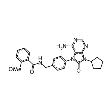 COc1ccccc1C(=O)NCc1ccc(-n2c(=O)n(C3CCCC3)c3ncnc(N)c32)cc1